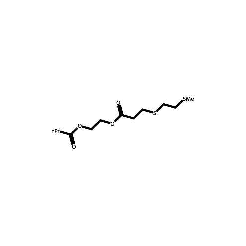 CCCC(=O)OCCOC(=O)CCSCCSC